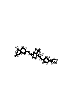 CC1Cc2cc(CCN3CCN(C(=O)Cc4ccc(-n5cnnn5)cc4)C(C(F)(F)F)C3)ccc2C(=O)O1